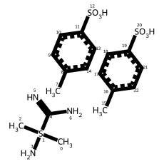 CS(C)(N)C(=N)N.Cc1ccc(S(=O)(=O)O)cc1.Cc1ccc(S(=O)(=O)O)cc1